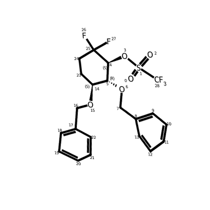 O=S(=O)(O[C@H]1[C@H](OCc2ccccc2)[C@@H](OCc2ccccc2)CCC1(F)F)C(F)(F)F